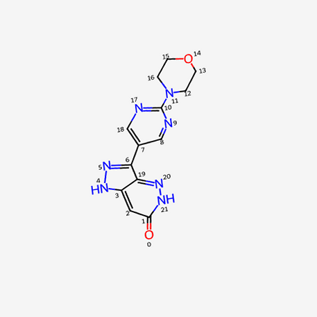 O=c1cc2[nH]nc(-c3cnc(N4CCOCC4)nc3)c2n[nH]1